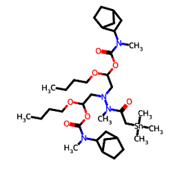 CCCCOC(CN(CC(OCCCC)OC(=O)N(C)C1CC2CCC1C2)N(C)C(=O)[CH2][Sn]([CH3])([CH3])[CH3])OC(=O)N(C)C1CC2CCC1C2